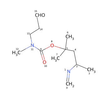 C=NC(C)CC(C)(C)OC(=O)N(C)CCC=O